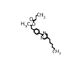 CCCCCCc1cnc(-c2ccc(CC(C)OC(=O)CCC)cc2)nc1